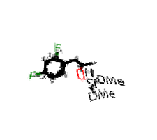 CO[SiH](OC)OC(C)Cc1ccc(F)cc1F